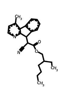 CCCCC(CC)COC(=O)C(C#N)C1c2ccccc2-c2c(C)ccnc21